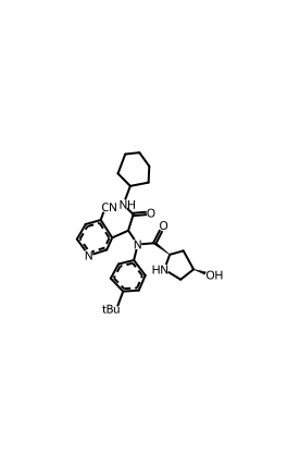 CC(C)(C)c1ccc(N(C(=O)[C@H]2C[C@@H](O)CN2)C(C(=O)NC2CCCCC2)c2cnccc2C#N)cc1